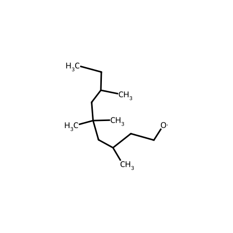 CCC(C)CC(C)(C)CC(C)CC[O]